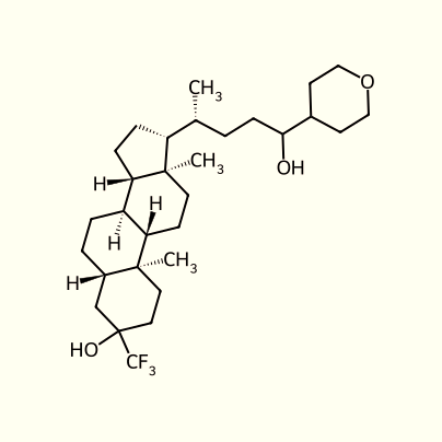 C[C@H](CCC(O)C1CCOCC1)[C@H]1CC[C@H]2[C@@H]3CC[C@H]4CC(O)(C(F)(F)F)CC[C@]4(C)[C@H]3CC[C@]12C